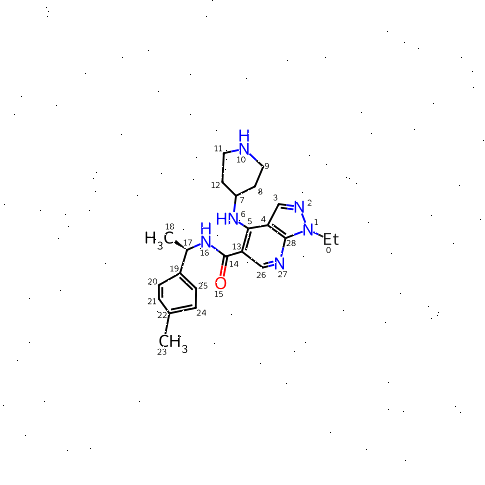 CCn1ncc2c(NC3CCNCC3)c(C(=O)N[C@H](C)c3ccc(C)cc3)cnc21